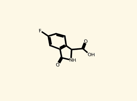 O=C1NC(C(=O)O)c2ccc(F)cc21